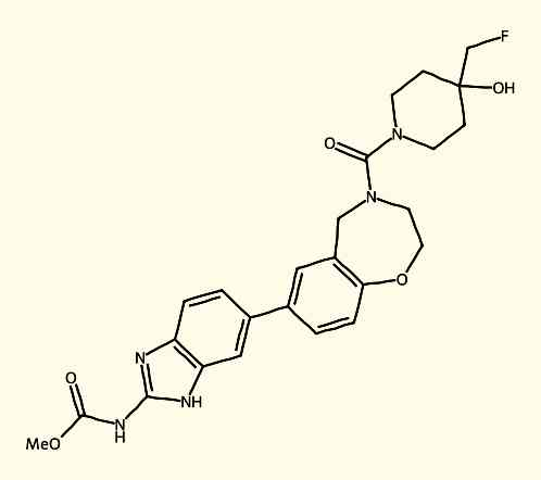 COC(=O)Nc1nc2ccc(-c3ccc4c(c3)CN(C(=O)N3CCC(O)(CF)CC3)CCO4)cc2[nH]1